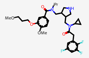 COCCCOc1cc(C(=O)N(CC2CNCC2CN(C(=O)Cc2cc(F)cc(F)c2F)C2CC2)C(C)C)ccc1OC